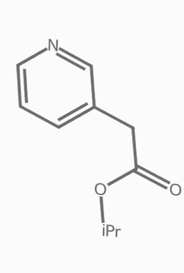 CC(C)OC(=O)Cc1cccnc1